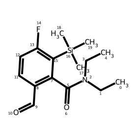 CCN(CC)C(=O)c1c(C=O)ccc(F)c1[Si](C)(C)C